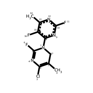 CC1=C(Cl)N=C(F)N(c2nc(F)nc(C)c2F)[CH]1